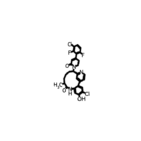 CC1CCCC(N2CCC(c3c(F)ccc(Cl)c3F)=CC2=O)c2cc(ccn2)-c2cc(Cl)c(O)cc2NC1=O